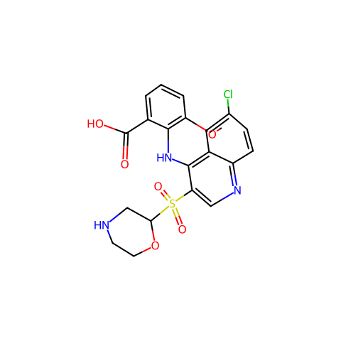 COc1cccc(C(=O)O)c1Nc1c(S(=O)(=O)C2CNCCO2)cnc2ccc(Cl)cc12